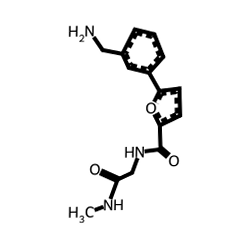 CNC(=O)CNC(=O)c1ccc(-c2cccc(CN)c2)o1